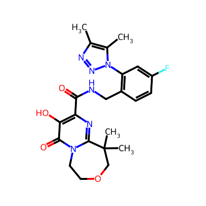 Cc1nnn(-c2cc(F)ccc2CNC(=O)c2nc3n(c(=O)c2O)CCOCC3(C)C)c1C